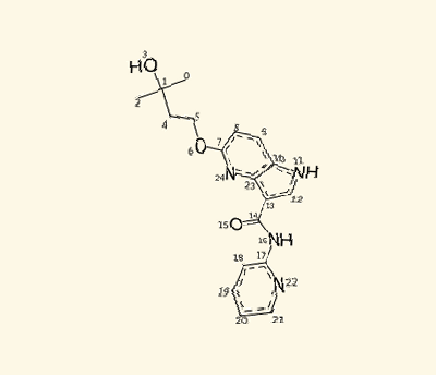 CC(C)(O)CCOc1ccc2[nH]cc(C(=O)Nc3ccccn3)c2n1